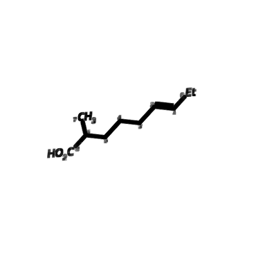 CC/C=C/CCCC(C)C(=O)O